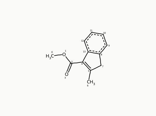 COC(=O)C1=C(C)Cc2ccccc21